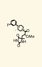 COC(CC1(C)NC(=O)NC1=O)C(=O)N1CCN(c2cccc(F)c2)[C@@H](C)C1